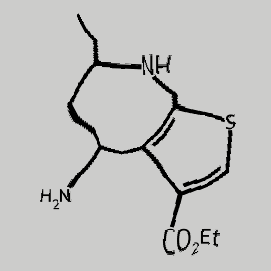 CCOC(=O)c1csc2c1C(N)CC(C)N2